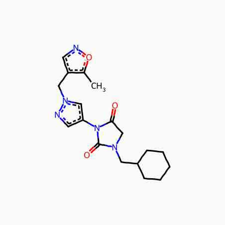 Cc1oncc1Cn1cc(N2C(=O)CN(CC3CCCCC3)C2=O)cn1